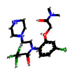 CN(C)C(=O)COc1cc(Cl)ccc1N(CCN1CCNCC1)C(=O)C(F)(F)F